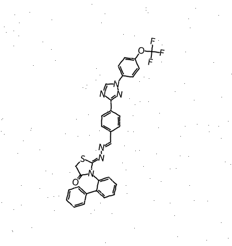 O=C1CS/C(=N\N=C\c2ccc(-c3ncn(-c4ccc(OC(F)(F)F)cc4)n3)cc2)N1c1ccccc1-c1ccccc1